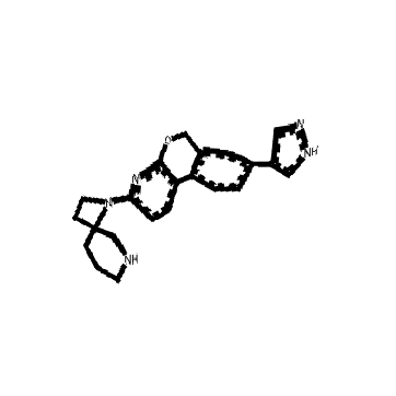 c1cc2c(cc1-c1cn[nH]c1)COc1nc(N3CCC34CCCNC4)ccc1-2